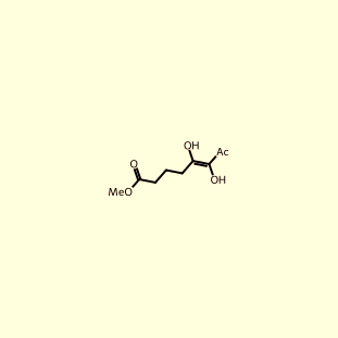 COC(=O)CCCC(O)=C(O)C(C)=O